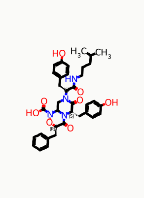 CC(C)CCCNC(=O)[C@H](Cc1ccc(O)cc1)N1CC2N(C(=O)O)O[C@H](Cc3ccccc3)C(=O)N2[C@@H](Cc2ccc(O)cc2)C1=O